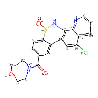 O=C(c1ccc2c(c1)-c1cc(Cl)c3cccnc3c1N[S+]2[O-])N1CCOCC1